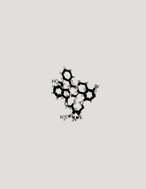 Cn1nnc(COc2ccc(Br)c3c2[C@@H](CN2Cc4ccccc4C2=O)N(C(=O)C2CCCC[C@H]2C(=O)O)CC3)c1C(F)F